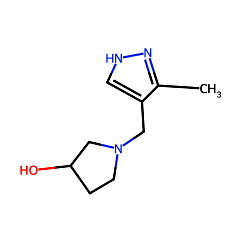 Cc1n[nH]cc1CN1CCC(O)C1